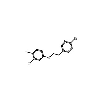 CCc1ccc(CCSc2ccc(Cl)c(Cl)c2)cn1